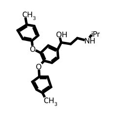 Cc1ccc(Oc2ccc(C(O)CCNC(C)C)cc2Oc2ccc(C)cc2)cc1